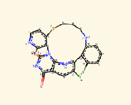 CC(C)c1nccc2c1-n1c(=O)[nH]c(=O)c3cc(F)c(nc31)-c1c(F)cccc1NCCCS2